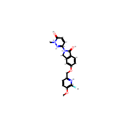 COc1ccc(COc2ccc3c(c2)CN(c2ccc(=O)n(C)n2)C3=O)nc1F